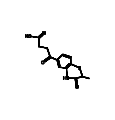 CC1Sc2ccc(C(=O)CCC(=O)O)cc2NC1=O